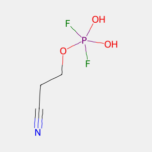 N#CCCOP(O)(O)(F)F